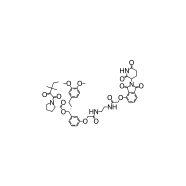 CCC(C)(C)C(=O)C(=O)N1CCC[C@H]1C(=O)O[C@H](CCc1ccc(OC)c(OC)c1)c1cccc(OCC(=O)NCCNC(=O)COc2cccc3c2C(=O)N(C2CCC(=O)NC2=O)C3=O)c1